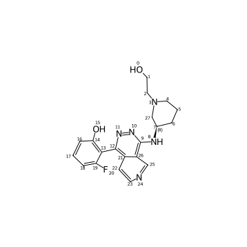 OCCN1CCC[C@@H](Nc2nnc(-c3c(O)cccc3F)c3ccncc23)C1